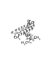 CC(F)C(F)(F)C(F)(F)C(F)(F)C(F)(F)C(F)(F)C(F)(F)S(=O)(=O)[O-].CC[N+](CC)(CC)CC